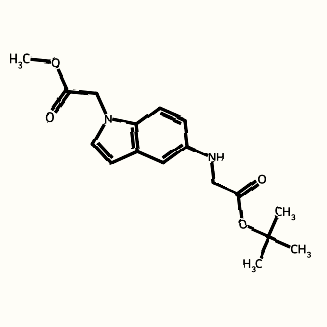 COC(=O)Cn1ccc2cc(NCC(=O)OC(C)(C)C)ccc21